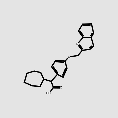 O=C(O)C(c1ccc(OCc2ccc3ccccc3n2)cc1)C1CCCCCC1